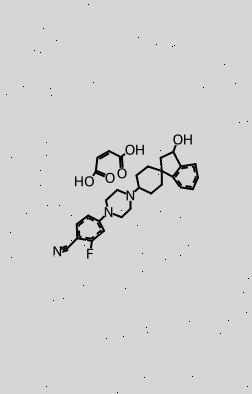 N#Cc1ccc(N2CCN(C3CCC4(CC3)CC(O)c3ccccc34)CC2)cc1F.O=C(O)/C=C\C(=O)O